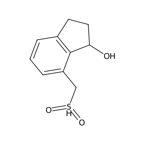 O=[SH](=O)Cc1cccc2c1C(O)CC2